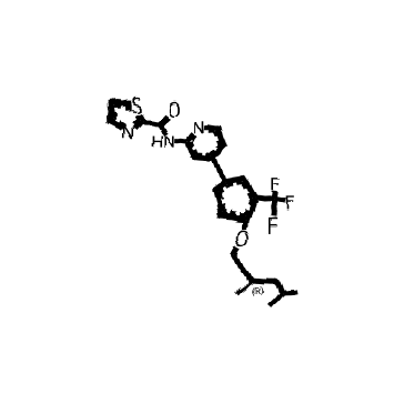 CC(C)C[C@@H](C)COc1ccc(-c2ccnc(NC(=O)c3nccs3)c2)cc1C(F)(F)F